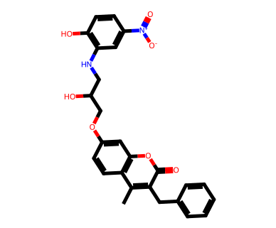 Cc1c(Cc2ccccc2)c(=O)oc2cc(OCC(O)CNc3cc([N+](=O)[O-])ccc3O)ccc12